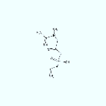 C=COP(=O)(O)OC(=O)CN(C)C(=N)N